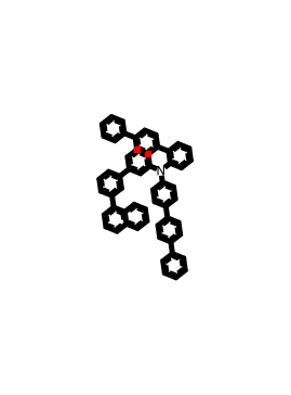 c1ccc(-c2ccc(-c3ccc(N(c4cccc(-c5cccc(-c6cccc7ccccc67)c5)c4)c4ccccc4-c4ccc(-c5ccccc5)cc4)cc3)cc2)cc1